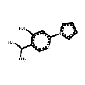 Cc1cc(-n2cccc2)ncc1C(C)C